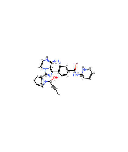 CC#CC(O)N1CC2CCC1(c1nc(-c3ccc(C(=O)Nc4ccccn4)cc3)c3c(N)nccn13)C2